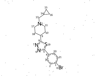 Brc1ccc(-c2nnc(C3CCN(CC4CC4)CC3)s2)cc1